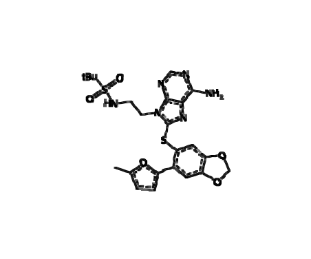 Cc1ccc(-c2cc3c(cc2Sc2nc4c(N)ncnc4n2CCNS(=O)(=O)C(C)(C)C)OCO3)o1